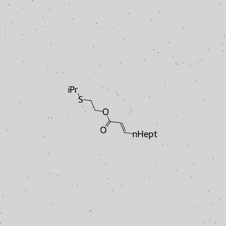 CCCCCCC/C=C/C(=O)OCCSC(C)C